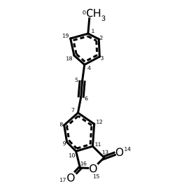 Cc1ccc(C#Cc2ccc3c(c2)C(=O)OC3=O)cc1